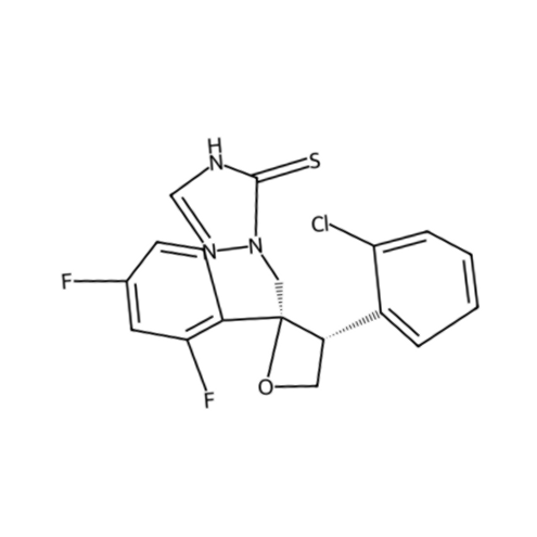 Fc1ccc([C@]2(Cn3nc[nH]c3=S)OC[C@H]2c2ccccc2Cl)c(F)c1